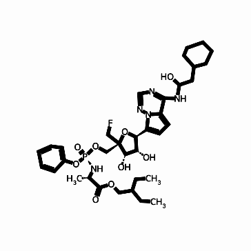 CCC(CC)COC(=O)[C@H](C)N[P@](=O)(OC[C@@]1(CF)O[C@@H](c2ccc3c(NC(O)CC4CCCCC4)ncnn23)[C@H](O)[C@@H]1O)Oc1ccccc1